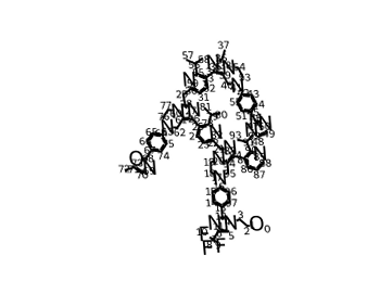 COCCn1cc(C(F)(F)F)nc1-c1ccc(N2CCn3c(-c4ccc(-c5nc(Cc6ccc(-c7nc(C)n8c7CN(c7ccc(-n9nccn9)cc7)CC8)c(C(C)C)n6)n6c5CN(c5ccc(-c7ncc(C)o7)cc5)CC6)c(C(C)C)n4)nc(-c4cccnc4C(C)C)c3C2)cc1